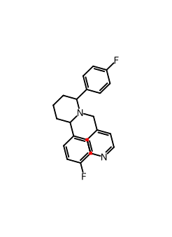 Fc1ccc(C2CCCC(c3ccc(F)cc3)N2Cc2ccncc2)cc1